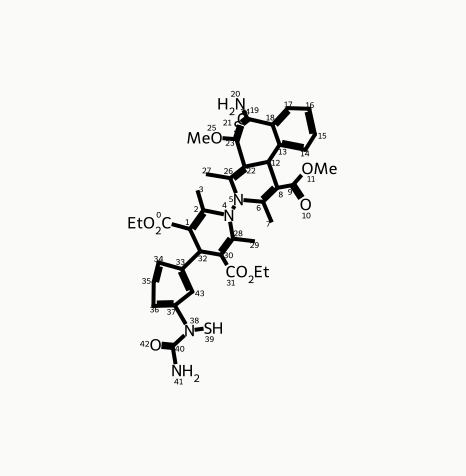 CCOC(=O)C1=C(C)N(N2C(C)=C(C(=O)OC)C(c3ccccc3C(N)=S)C(C(=O)OC)=C2C)C(C)=C(C(=O)OCC)C1c1cccc(N(S)C(N)=O)c1